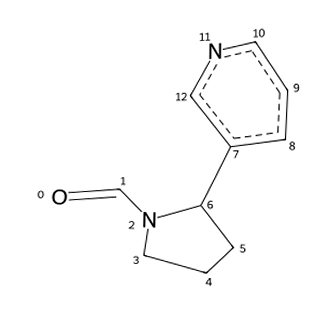 O=CN1CCCC1c1cccnc1